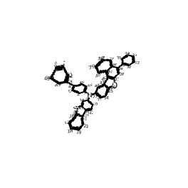 c1ccc(-c2ccc(N(c3ccc4c(c3)sc3ccccc34)c3ccc4oc5cc(-c6ccccc6)c6ccccc6c5c4c3)cc2)cc1